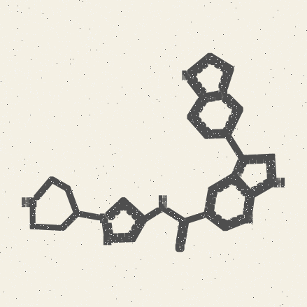 O=C(Nc1cnn(C2CCNCC2)c1)c1cnc2[nH]cc(-c3ccc4nccn4c3)c2c1